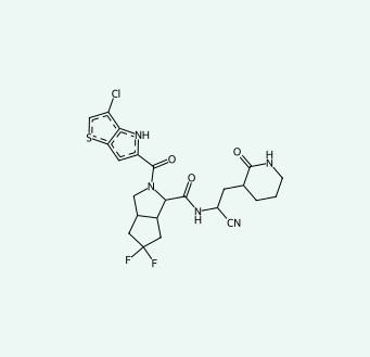 N#CC(CC1CCCNC1=O)NC(=O)C1C2CC(F)(F)CC2CN1C(=O)c1cc2scc(Cl)c2[nH]1